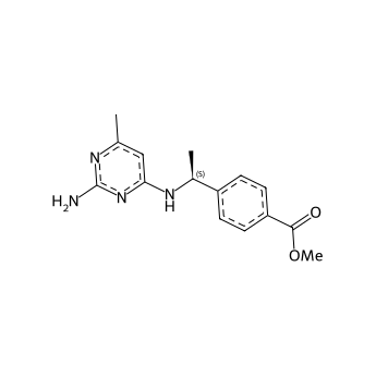 COC(=O)c1ccc([C@H](C)Nc2cc(C)nc(N)n2)cc1